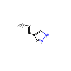 O=C(O)C=Cc1cn[nH]c1